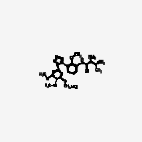 COc1cc(-c2oncc2-c2cccc(NC(=O)C(N)C(C)C)c2OC)cc(OC)c1OC.Cl